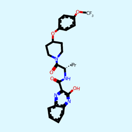 CC(C)[C@H](NC(=O)c1nc2ccccc2nc1O)C(=O)N1CCC(Oc2ccc(OC(F)(F)F)cc2)CC1